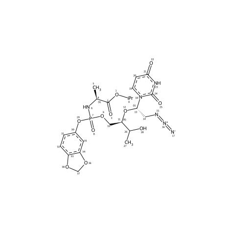 CC(C)OC(=O)[C@H](C)NP(=O)(OC[C@@H](O[C@@H](CN=[N+]=[N-])n1ccc(=O)[nH]c1=O)C(C)O)Oc1ccc2c(c1)OCO2